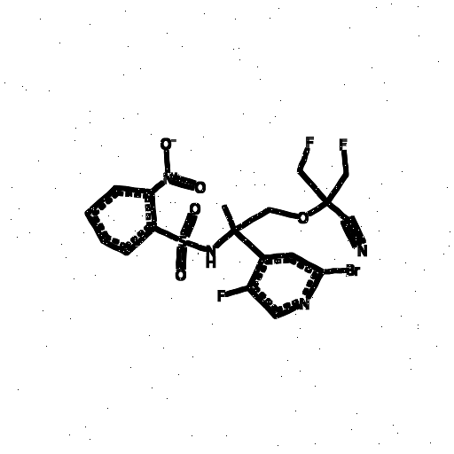 CC(COC(C#N)(CF)CF)(NS(=O)(=O)c1ccccc1[N+](=O)[O-])c1cc(Br)ncc1F